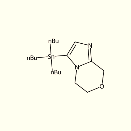 CCC[CH2][Sn]([CH2]CCC)([CH2]CCC)[c]1cnc2n1CCOC2